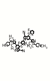 Cc1c(-c2cc(Sc3ncc(-[n+]4cc(C#N)c5c(Sc6ncccc6F)cc(-c6cnn([C@H](C)C7CCN(C)CC7)c6C)cn54)cc3F)c3c(C#N)cnn3c2)cnn1[C@H](C)C1CCNCC1